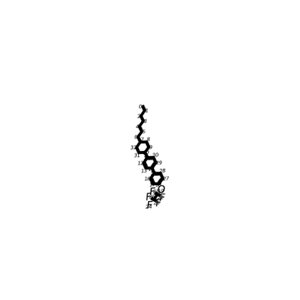 CCCCCCCC1CCC(c2ccc(-c3ccc(OC(F)(F)C(F)(F)F)cc3)cc2)CC1